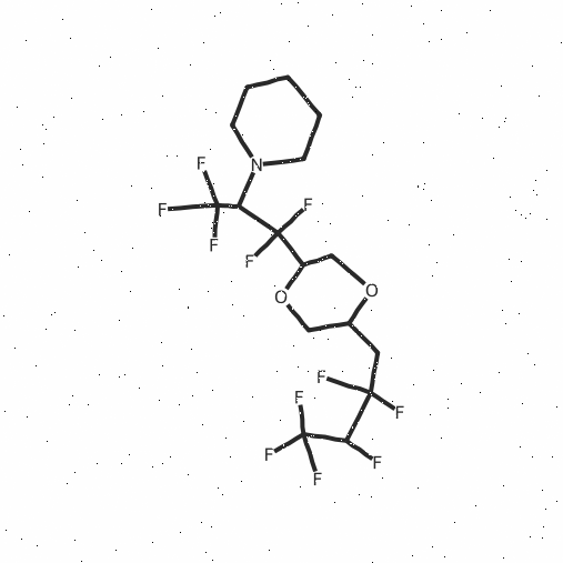 FC(C(F)(F)F)C(F)(F)CC1COC(C(F)(F)C(N2CCCCC2)C(F)(F)F)CO1